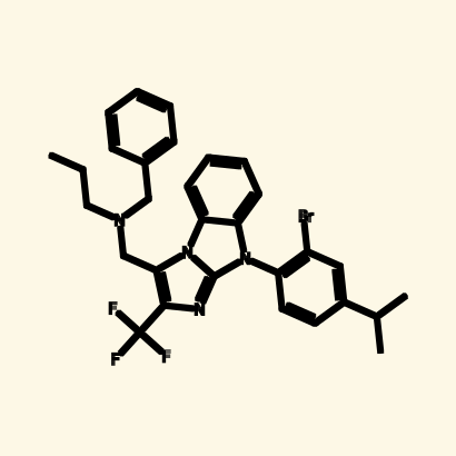 CCCN(Cc1ccccc1)Cc1c(C(F)(F)F)nc2n(-c3ccc(C(C)C)cc3Br)c3ccccc3n12